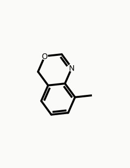 Cc1cccc2c1N=COC2